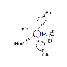 CCCCCCCCCC#CC1=C(c2ccc(CCCC)cc2)[N+](=[N-])C(c2ccc(CCCC)cc2)=C1CCCCCCCC.C[CH2][Pd][CH2]C